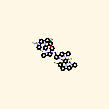 Cn1c2ccccc2c2c1ccc1c3ccccc3n(-c3cc(C#N)c(-n4c5ccccc5c5ccc6c(c7ccccc7n6Cc6cccc7c6c6ccc8c9ccccc9n(-c9cc(-c%10cccc(C#N)c%10)c(-n%10c%11ccccc%11c%11ccc%12c%13ccccc%13n(C)c%12c%11%10)cc9C#N)c8c6n7C)c54)cc3-c3cccc(C#N)c3)c12